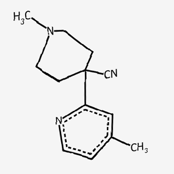 Cc1ccnc(C2(C#N)CCN(C)CC2)c1